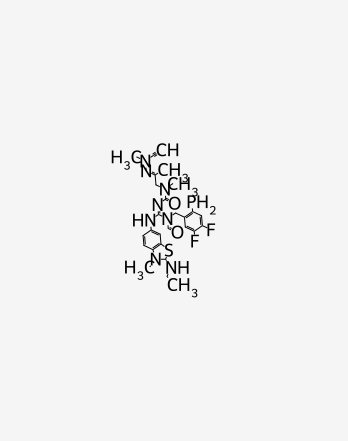 C#CN(C)/N=C(\C)CN(C)C(=O)/N=C(/Nc1ccc2c(c1)SC(NCC)N2C)N(C=O)Cc1cc(F)c(F)cc1P